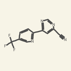 N#Cc1cc(-c2ccc(C(F)(F)F)cn2)ncn1